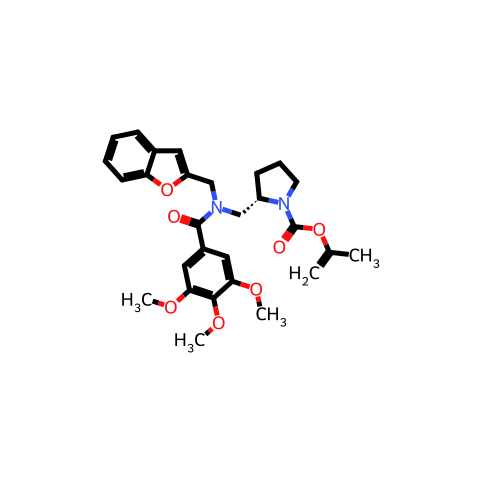 C=C(C)OC(=O)N1CCC[C@H]1CN(Cc1cc2ccccc2o1)C(=O)c1cc(OC)c(OC)c(OC)c1